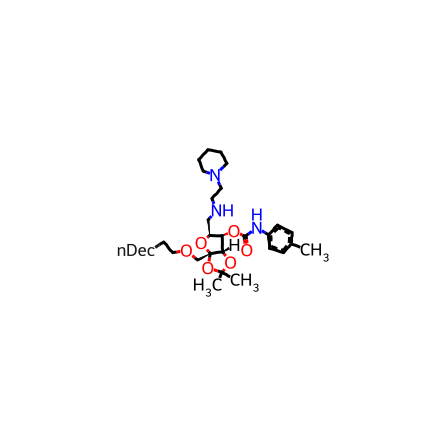 CCCCCCCCCCCCOC[C@@]12O[C@@H](CNCCN3CCCCC3)[C@@H](OC(=O)Nc3ccc(C)cc3)[C@@H]1OC(C)(C)O2